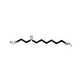 NCCCCCCNCC[SiH3]